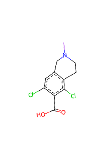 O=C(O)c1c(Cl)cc2c(c1Cl)CCN(I)C2